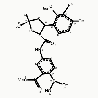 COC(=O)c1cc(NC(=O)[C@@H]2S[C@@](C)(C(F)(F)F)C[C@H]2c2ccc(F)c(F)c2OC)ccc1B(O)O